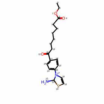 CCOC(=O)CCCCCCC(=O)c1ccc(N2C=CSC2N)cc1